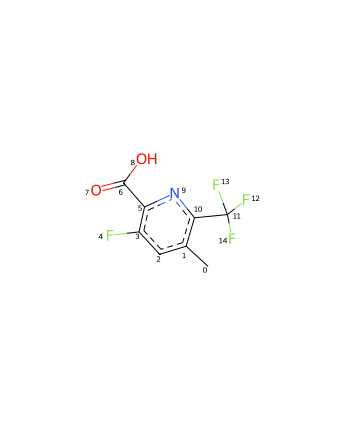 Cc1cc(F)c(C(=O)O)nc1C(F)(F)F